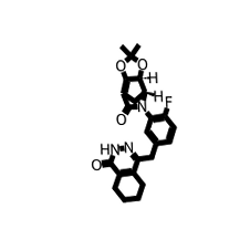 CC1(C)OC2=C3C[C@H]([C@@H]2O1)N(c1cc(Cc2n[nH]c(=O)c4c2CCCC4)ccc1F)C3=O